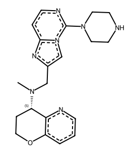 CN(Cc1cn2c(N3CCNCC3)nccc2n1)[C@H]1CCOc2cccnc21